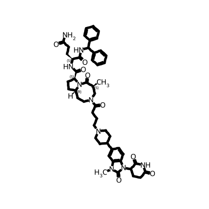 C[C@H]1CN(C(=O)CCCN2CCC(c3ccc4c(c3)n(C)c(=O)n4C3CCC(=O)NC3=O)CC2)CC[C@H]2CC[C@@H](C(=O)N[C@@H](CCC(N)=O)C(=O)NC(c3ccccc3)c3ccccc3)N2C1=O